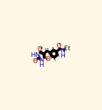 CCNC(=O)c1ccc2c(c1)Cc1c([nH]c(=O)[nH]c1=O)O2